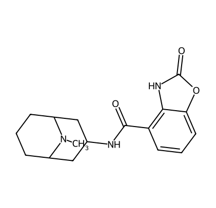 CN1C2CCCC1CC(NC(=O)c1cccc3oc(=O)[nH]c13)C2